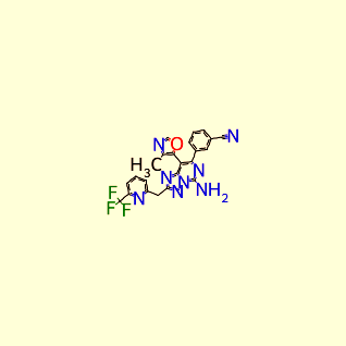 Cc1ncoc1-c1c(-c2cccc(C#N)c2)nc(N)n2nc(Cc3cccc(C(F)(F)F)n3)nc12